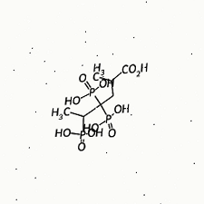 CC(CC(C(C)P(=O)(O)O)(P(=O)(O)O)P(=O)(O)O)C(=O)O